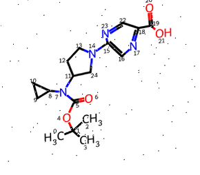 CC(C)(C)OC(=O)N(C1CC1)C1CCN(c2cnc(C(=O)O)cn2)C1